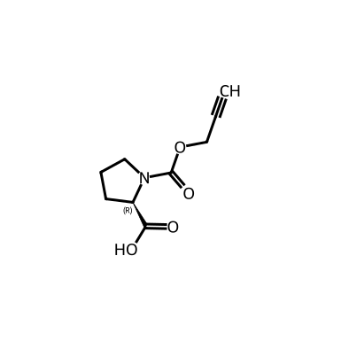 C#CCOC(=O)N1CCC[C@@H]1C(=O)O